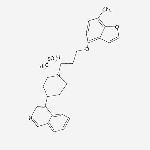 CS(=O)(=O)O.FC(F)(F)c1ccc(OCCCN2CCC(c3cncc4ccccc34)CC2)c2ccoc12